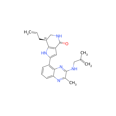 C=CC[C@H]1CNC(=O)c2cc(-c3cccc4nc(C)c(NCC(=C)C)nc34)[nH]c21